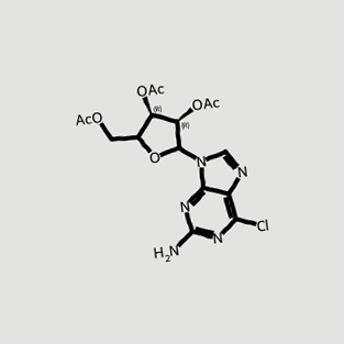 CC(=O)OCC1OC(n2cnc3c(Cl)nc(N)nc32)[C@H](OC(C)=O)[C@@H]1OC(C)=O